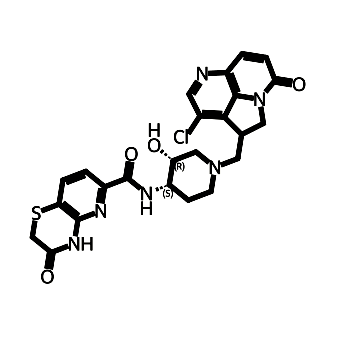 O=C1CSc2ccc(C(=O)N[C@H]3CCN(CC4Cn5c(=O)ccc6ncc(Cl)c4c65)C[C@H]3O)nc2N1